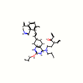 C=CC(=O)C(C=C)CCN(CCC)c1nc(OCCC)nc2c1CCC(/C=C/c1c(C)ccc(C=C)c1/C=N\C)C2